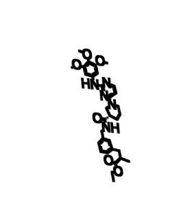 CCOC(=O)C(C)Cc1cccc(CNC(=O)[C@H]2CCCN(c3ccnc(Nc4cc(OC)c(OC)c(OC)c4)n3)C2)c1